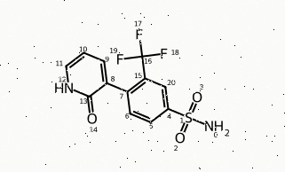 NS(=O)(=O)c1ccc(-c2ccc[nH]c2=O)c(C(F)(F)F)c1